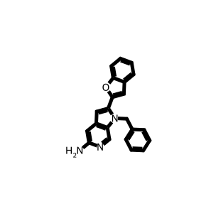 Nc1cc2cc(-c3cc4ccccc4o3)n(Cc3ccccc3)c2cn1